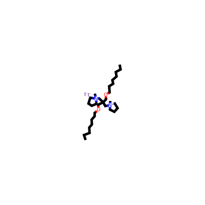 CCCCCCCCOCC(COCCCCCCCC)(C[N+]1(C)CCCC1)C[N+]1(C)CCCC1.[I-].[I-]